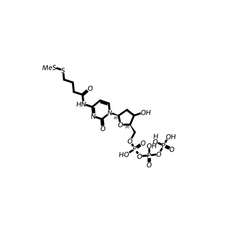 CSSCCCC(=O)Nc1ccn([C@H]2CC(O)[C@@H](COP(=O)(O)OP(=O)(O)OP(=O)(O)O)O2)c(=O)n1